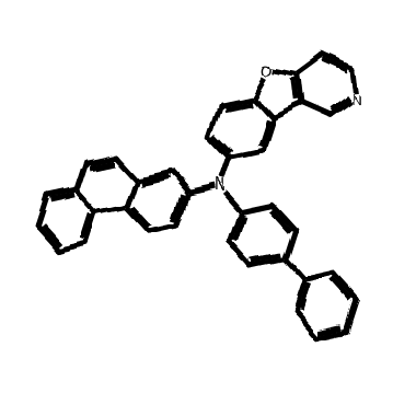 c1ccc(-c2ccc(N(c3ccc4c(ccc5ccccc54)c3)c3ccc4oc5ccncc5c4c3)cc2)cc1